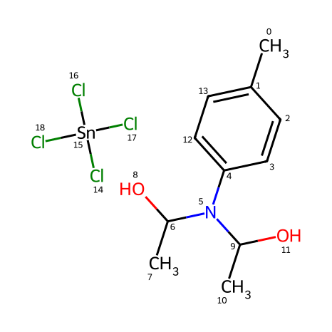 Cc1ccc(N(C(C)O)C(C)O)cc1.[Cl][Sn]([Cl])([Cl])[Cl]